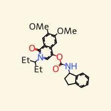 CCC(CC)n1cc(OC(=O)N[C@@H]2CCc3ccccc32)c2cc(OC)c(OC)cc2c1=O